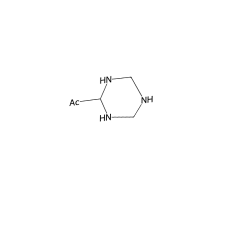 CC(=O)C1NCNCN1